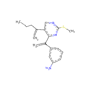 C=C(CCC)c1cnc(SC)nc1C(=C)c1cccc(N)c1